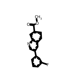 COC(=O)c1ccc2cc(-c3cccc(F)c3)cnc2c1